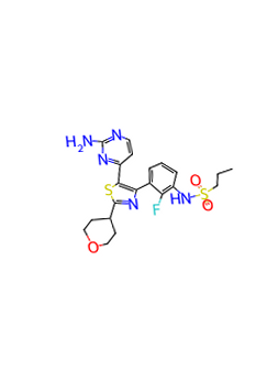 CCCS(=O)(=O)Nc1cccc(-c2nc(C3CCOCC3)sc2-c2ccnc(N)n2)c1F